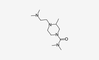 CC1CN(C(=O)N(C)C)CCN1CCN(C)C